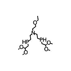 CCOCCN(CCPCC(OC)OC)CCPCC(OC)OC